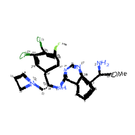 COC(N)c1cccc2c(N[C@H](CN3CCC3)c3cc(F)c(Cl)c(Cl)c3)ncnc12